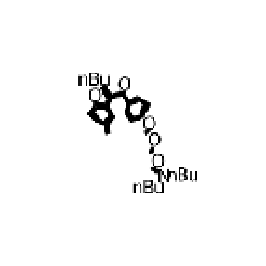 CCCCc1oc2ccc(C)cc2c1C(=O)c1ccc(OCOCOCN(CCCC)CCCC)cc1